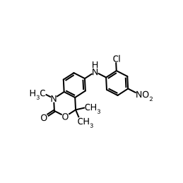 CN1C(=O)OC(C)(C)c2cc(Nc3ccc([N+](=O)[O-])cc3Cl)ccc21